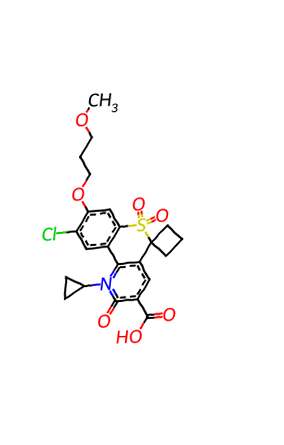 COCCCOc1cc2c(cc1Cl)-c1c(cc(C(=O)O)c(=O)n1C1CC1)C1(CCC1)S2(=O)=O